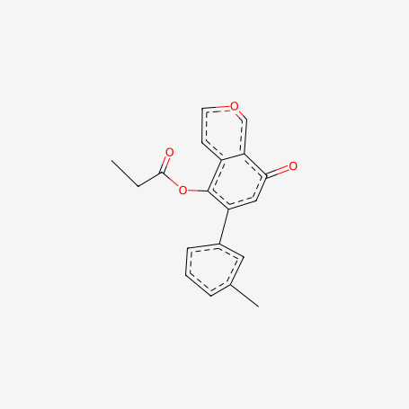 CCC(=O)Oc1c(-c2cccc(C)c2)cc(=O)c2coccc1-2